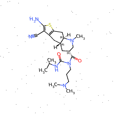 CC(C)NC(=O)N(CCCN(C)C)C(=O)[C@@H]1C[C@@H]2Cc3c(sc(N)c3C#N)C[C@H]2N(C)C1